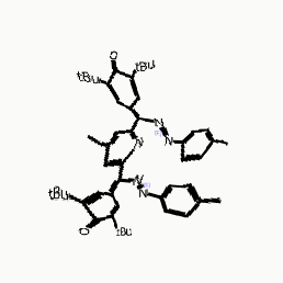 Cc1ccc(/N=N/C(=C2C=C(C(C)(C)C)C(=O)C(C(C)(C)C)=C2)c2cc(C)cc(C(/N=N/c3ccc(C)cc3)=C3C=C(C(C)(C)C)C(=O)C(C(C)(C)C)=C3)n2)cc1